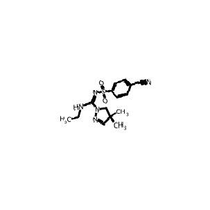 CCN/C(=N/S(=O)(=O)c1ccc(C#N)cc1)N1CC(C)(C)C=N1